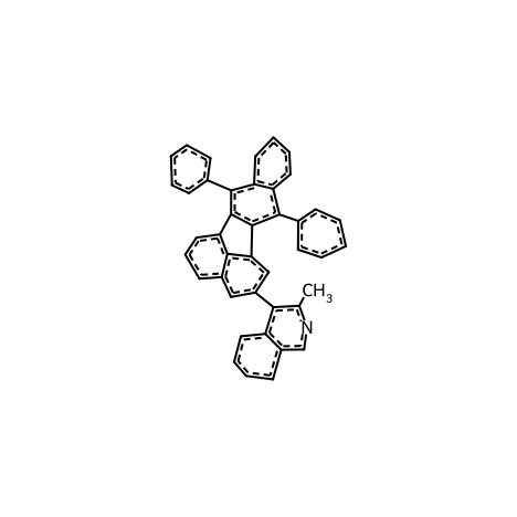 Cc1ncc2ccccc2c1-c1cc2c3c(cccc3c1)-c1c-2c(-c2ccccc2)c2ccccc2c1-c1ccccc1